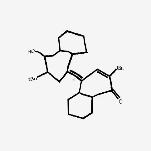 CC(C)(C)C1=C/C(=C2/CC(C(C)(C)C)C(O)C3CCCCC23)C2CCCCC2C1=O